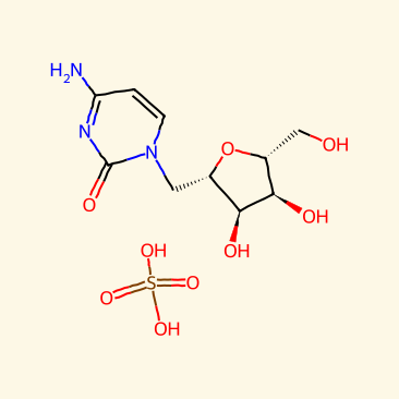 Nc1ccn(C[C@@H]2O[C@H](CO)[C@@H](O)[C@H]2O)c(=O)n1.O=S(=O)(O)O